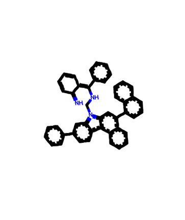 N=C1C=CC=C/C1=C(/NCn1c2cc(-c3ccccc3)ccc2c2c3ccccc3c(-c3cccc4ccccc34)cc21)c1ccccc1